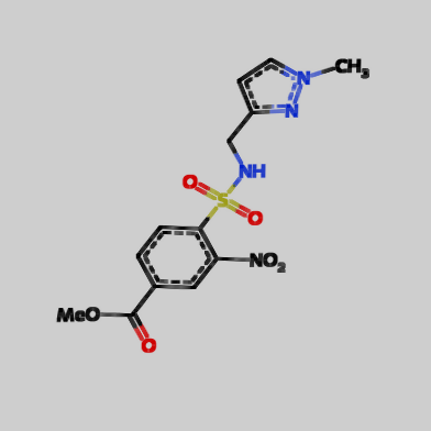 COC(=O)c1ccc(S(=O)(=O)NCc2ccn(C)n2)c([N+](=O)[O-])c1